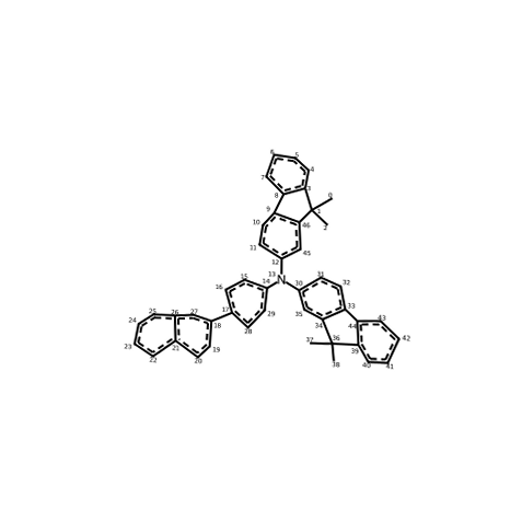 CC1(C)c2ccccc2-c2ccc(N(c3ccc(-c4ccc5ccccc5c4)cc3)c3ccc4c(c3)C(C)(C)c3ccccc3-4)cc21